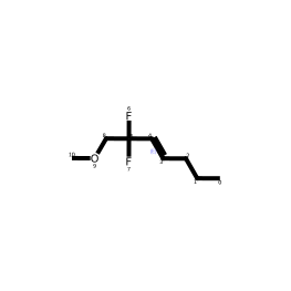 CCC/C=C/C(F)(F)COC